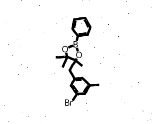 Cc1cc(Br)cc(CC2(C)OB(c3ccccc3)OC2(C)C)c1